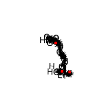 C=C\C(=C/C=C/C(=C(/CC)c1ccccc1)c1ccc(O)cc1)OCCN1CC2(CC(OCCOc3ccc4c(c3)CN(C3CCC(=O)NC3=O)C4=O)C2)C1